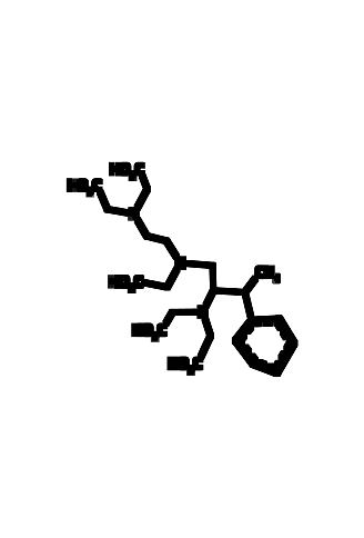 CC(c1ccccc1)C(CN(CCN(CC(=O)O)CC(=O)O)CC(=O)O)N(CC(=O)O)CC(=O)O